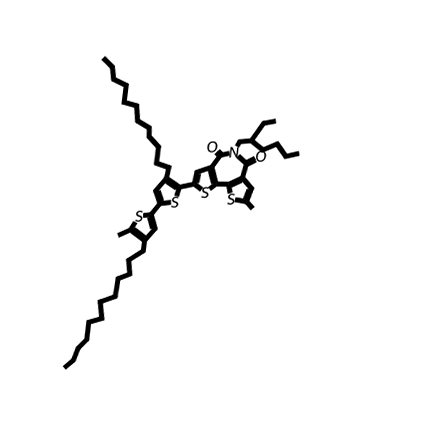 CCCCCCCCCCCCc1cc(-c2cc(CCCCCCCCCCCC)c(-c3cc4c(=O)n(CC(CC)CCCC)c(=O)c5cc(C)sc5c4s3)s2)sc1C